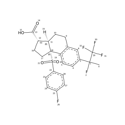 CC(F)(c1ccc2c(c1)CC[C@@H]1[C@@H](C(=O)O)CC[C@]21S(=O)(=O)c1ccc(F)cc1)C(F)(F)F